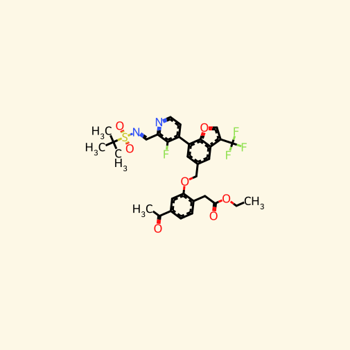 CCOC(=O)Cc1ccc(C(C)=O)cc1OCc1cc(-c2ccnc(C=NS(=O)(=O)C(C)(C)C)c2F)c2occ(C(F)(F)F)c2c1